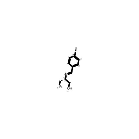 CC(C)C[C@@H](CO)N=Cc1ccc(F)cc1